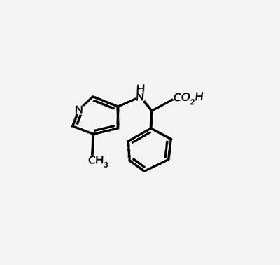 Cc1cncc(NC(C(=O)O)c2ccccc2)c1